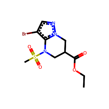 CCOC(=O)C1CN(S(C)(=O)=O)c2c(Br)cnn2C1